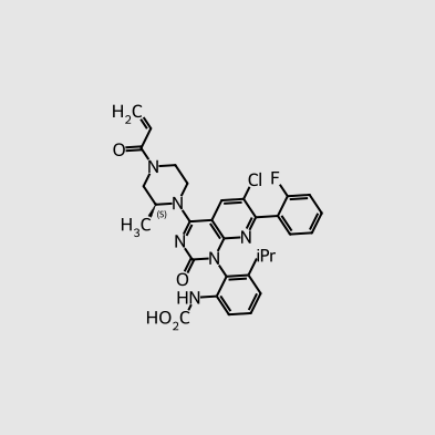 C=CC(=O)N1CCN(c2nc(=O)n(-c3c(NC(=O)O)cccc3C(C)C)c3nc(-c4ccccc4F)c(Cl)cc23)[C@@H](C)C1